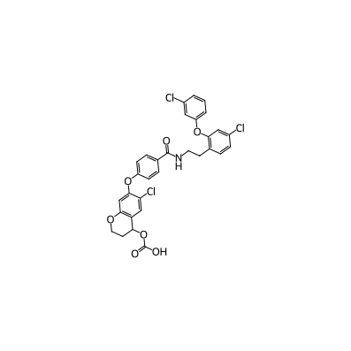 O=C(O)OC1CCOc2cc(Oc3ccc(C(=O)NCCc4ccc(Cl)cc4Oc4cccc(Cl)c4)cc3)c(Cl)cc21